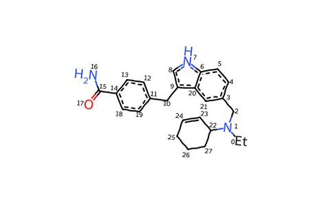 CCN(Cc1ccc2[nH]cc(Cc3ccc(C(N)=O)cc3)c2c1)C1C=CCCC1